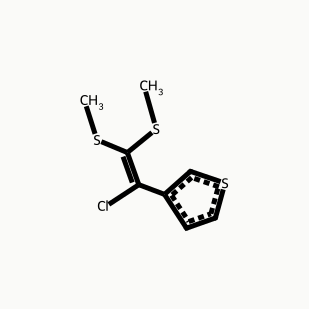 CSC(SC)=C(Cl)c1ccsc1